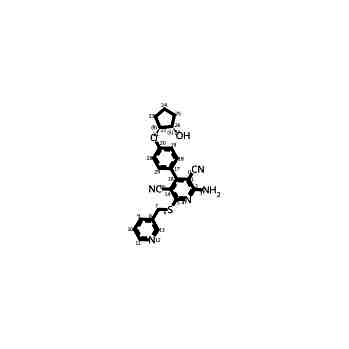 N#Cc1c(N)nc(SCc2cccnc2)c(C#N)c1-c1ccc(O[C@@H]2CCC[C@@H]2O)cc1